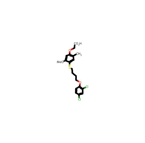 COc1cc(OCC(=O)O)c(C)cc1SCCCCOc1ccc(Cl)cc1Cl